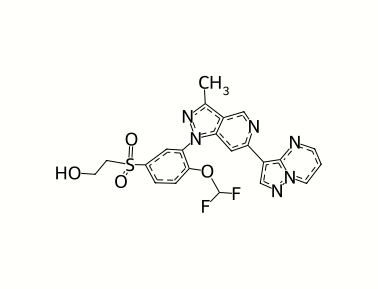 Cc1nn(-c2cc(S(=O)(=O)CCO)ccc2OC(F)F)c2cc(-c3cnn4cccnc34)ncc12